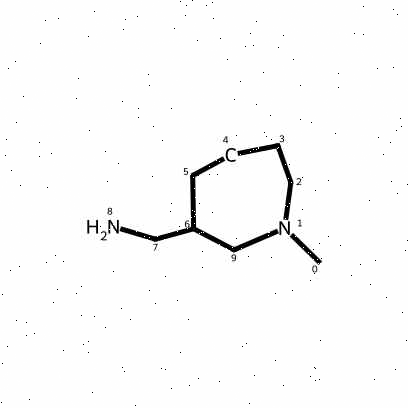 CN1CCCCC(CN)C1